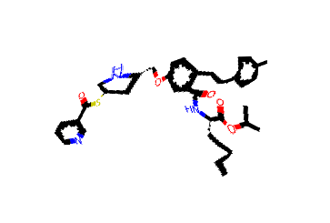 CCCC[C@H](NC(=O)c1cc(OC[C@@H]2C[C@H](SC(=O)c3cccnc3)CN2)ccc1CCc1ccc(C)cc1)C(=O)OC(C)C